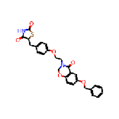 O=C1NC(=O)C(Cc2ccc(OCCN3COc4ccc(OCc5ccccc5)cc4C3=O)cc2)S1